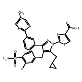 Cc1cnc(-c2cccc(-c3nn(-c4nc(C(=O)O)cs4)c(CC4CC4)c3Cc3ccc(S(N)(=O)=O)c(F)c3)c2)nc1